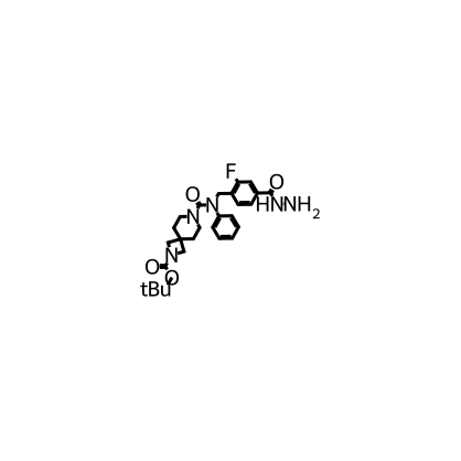 CC(C)(C)OC(=O)N1CC2(CCN(C(=O)N(Cc3ccc(C(=O)NN)cc3F)c3ccccc3)CC2)C1